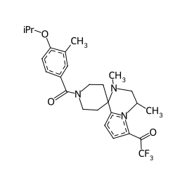 Cc1cc(C(=O)N2CCC3(CC2)c2ccc(C(=O)C(F)(F)F)n2C(C)CN3C)ccc1OC(C)C